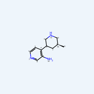 C[C@H]1[CH][C](c2ccncc2N)CNC1